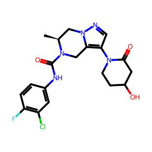 C[C@H]1Cn2ncc(N3CCC(O)CC3=O)c2CN1C(=O)Nc1ccc(F)c(Cl)c1